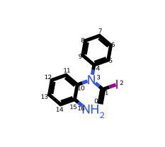 C=C(I)N(c1ccccc1)c1ccccc1N